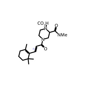 CNC(=O)C1CN(C(=O)/C=C/C2=C(C)CCCC2(C)C)CCN1C(=O)O